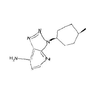 C[C@H]1CC[C@@H](n2nnc3c(N)ncnc32)CC1